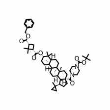 CC(C)(C)OC(=O)N1CCN(C(=O)[C@]23CC[C@@H](C4(C)CC4)[C@@H]2[C@H]2CC[C@@H]4[C@@]5(C)CC[C@H](OC(=O)[C@H]6C[C@@H](C(=O)OCc7ccccc7)C6(C)C)C(C)(C)[C@@H]5CC[C@@]4(C)[C@]2(C)CC3)CC1